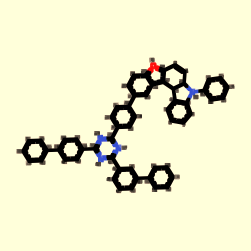 C1=CC2C(c3ccccc3N2c2ccccc2)c2c1oc1ccc(-c3ccc(-c4nc(-c5ccc(-c6ccccc6)cc5)nc(-c5cccc(-c6ccccc6)c5)n4)cc3)cc21